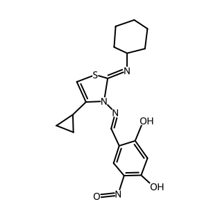 O=Nc1cc(/C=N/n2c(C3CC3)cs/c2=N\C2CCCCC2)c(O)cc1O